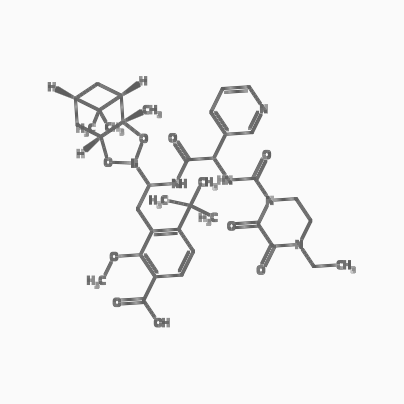 CCN1CCN(C(=O)NC(C(=O)NC(Cc2c(C(C)(C)C)ccc(C(=O)O)c2OC)B2O[C@@H]3C[C@@H]4C[C@@H](C4(C)C)[C@]3(C)O2)c2cccnc2)C(=O)C1=O